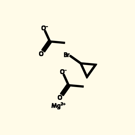 BrC1CC1.CC(=O)[O-].CC(=O)[O-].[Mg+2]